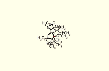 COc1cc(C2=NN(C)C(=O)C2(C)N(OC(=O)OC(C)(C)C)C(=O)OC(C)(C)C)ccc1S(C)(=O)=O